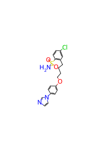 NS(=O)(=O)c1ccc(Cl)cc1CCCCOc1ccc(-n2ccnc2)cc1